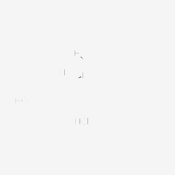 CC(C)CCC[C@@H](C)[C@H]1CC[C@H]2[C@@H]3CC=C4C[C@@H](O)CC[C@]4(C)[C@H]3CC[C@]12C.Cl